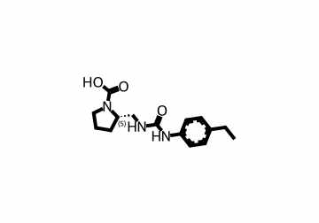 CCc1ccc(NC(=O)NC[C@@H]2CCCN2C(=O)O)cc1